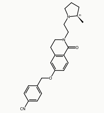 [C-]#[N+]c1ccc(COc2ccc3c(c2)CCN(CCN2CCC[C@H]2C)C3=O)cc1